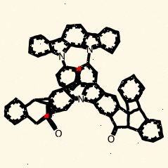 O=C1c2cc3c(cc2C2c4ccccc4C1c1ccccc12)c1cc(-n2c4ccccc4c4ccc5c6ccccc6n(-c6ccccc6)c5c42)cc2c4cc5c(cc4n3c12)C(=O)C1c2ccccc2C2c3ccccc3C512